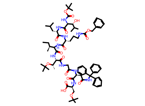 CC[C@H](C)C(NC(=O)[C@@H](CCCNC(=O)OCc1ccccc1)NC(=O)[C@H](CC(C)C)NC(=O)[C@@H](NC(=O)OC(C)(C)C)[C@H](O)C(C)C)C(=O)N[C@H](C(=O)NCC(=O)N[C@@H](CC(=O)NC(c1ccccc1)(c1ccccc1)c1ccccc1)C(=O)N[C@@H](COC(C)(C)C)C(=O)O)[C@H](C)OC(C)(C)C